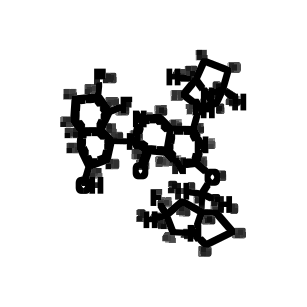 [2H]C([2H])(Oc1nc(N2C[C@H]3CC[C@@H](C2)N3)c2cnn(-c3cc(O)cc4ccc(F)c(F)c34)c(=O)c2n1)[C@@]12CCCN1C[C@]([2H])(F)C2